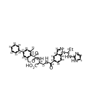 CCC(Nc1ncc[nH]1)n1ncc2cc(C(=O)NCC(NS(=O)(=O)c3c(C)cc(-c4ccccc4)cc3C)C(=O)O)ccc21